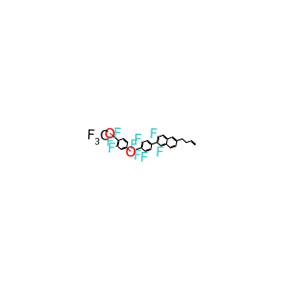 C=CCCc1ccc2c(F)c(-c3cc(F)c(C(F)(F)Oc4ccc(C(F)(F)OC(F)(F)F)c(F)c4)c(F)c3)c(F)cc2c1